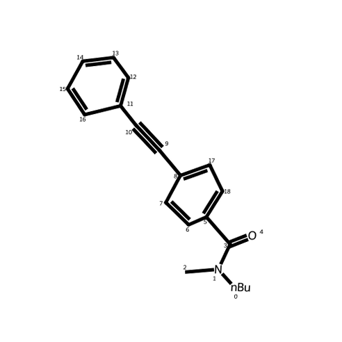 CCCCN(C)C(=O)c1ccc(C#Cc2ccccc2)cc1